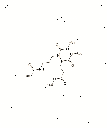 C=CC(=O)NCCCN(C(=O)OC(C)(C)C)N(CCC(=O)OC(C)(C)C)C(=O)OC(C)(C)C